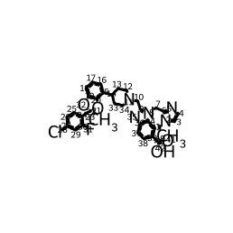 CCn1ccnc1Cn1c(CN2CCC(c3cccc4c3OC(C)(c3ccc(Cl)cc3F)O4)CC2)nc2ccc(C(=O)O)cc21